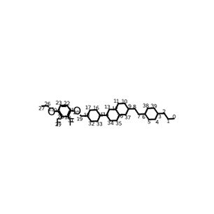 CCCC1CCC(CCC2CCC3CC(C4CCC(COc5ccc(OCC)c(F)c5F)CC4)CCC3C2)CC1